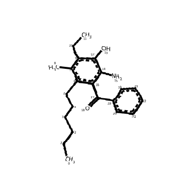 CCCCCCc1c(C)c(CC)c(O)c(N)c1C(=O)c1ccccc1